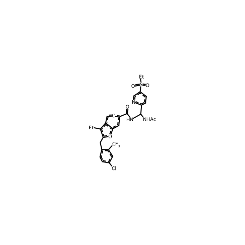 CCc1c(Cc2ccc(Cl)cc2C(F)(F)F)oc2cc(C(=O)NC(NC(C)=O)c3ccc(S(=O)(=O)CC)cn3)ccc12